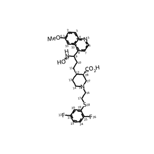 COc1ccc2nccc(C(CC[C@@H]3CCN(CCSc4cc(F)ccc4F)C[C@@H]3C(=O)O)NO)c2c1